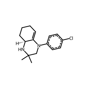 CC1(C)CN(c2ccc(Cl)cc2)C2=CCCC[C@@H]2N1